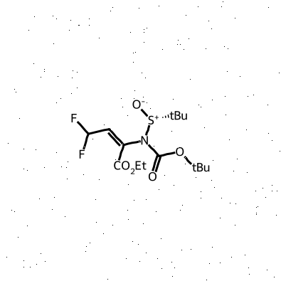 CCOC(=O)/C(=C\C(F)F)N(C(=O)OC(C)(C)C)[S@+]([O-])C(C)(C)C